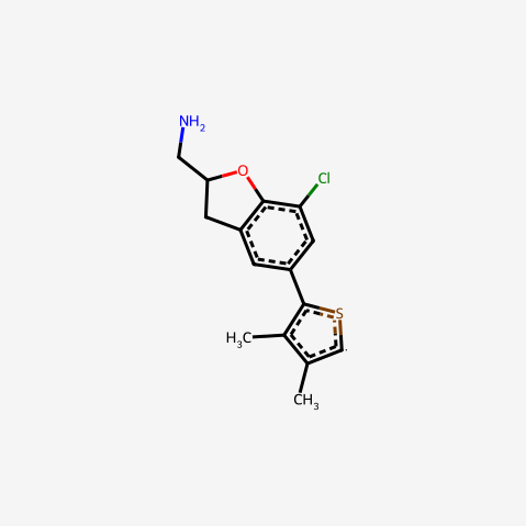 Cc1[c]sc(-c2cc(Cl)c3c(c2)CC(CN)O3)c1C